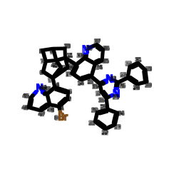 Brc1ccc(C23CC4CC5CC(c6ccc(-c7cc(-c8ccccc8)nc(-c8ccccc8)n7)c7cccnc67)(C2)C45C3)c2ncccc12